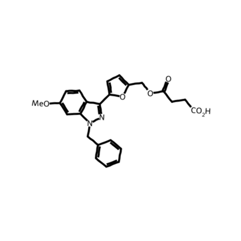 COc1ccc2c(-c3ccc(COC(=O)CCC(=O)O)o3)nn(Cc3ccccc3)c2c1